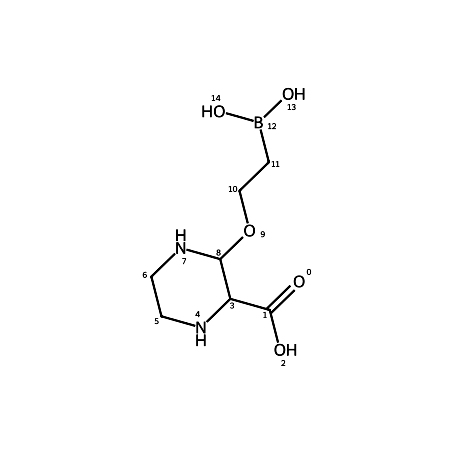 O=C(O)C1NCCNC1OCCB(O)O